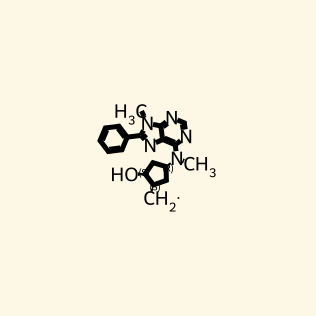 [CH2][C@H]1C[C@@H](N(C)c2ncnc3c2nc(-c2ccccc2)n3C)C[C@@H]1O